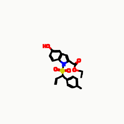 C=CC(c1ccc(C)cc1)S(=O)(=O)n1c(C(=O)OCC)cc2cc(O)ccc21